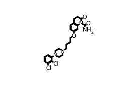 NC(=O)N1C(=O)CCc2ccc(OCCCCN3CCN(c4cccc(Cl)c4Cl)CC3)cc21